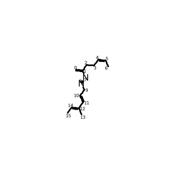 C=C(CC/C=C\C)/N=N/CC=CC(C)=CC